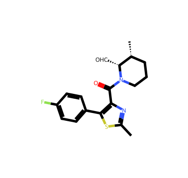 Cc1nc(C(=O)N2CCC[C@@H](C)[C@H]2C=O)c(-c2ccc(F)cc2)s1